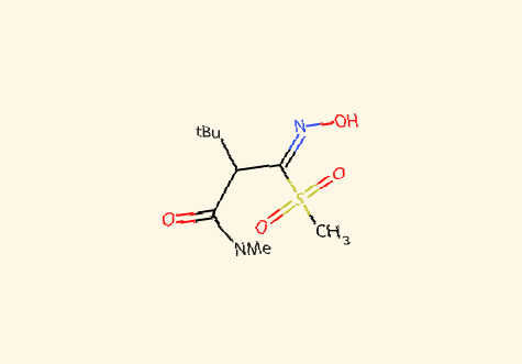 CNC(=O)C(C(=NO)S(C)(=O)=O)C(C)(C)C